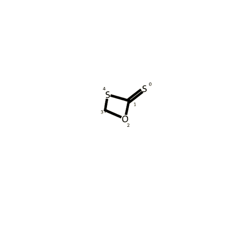 S=C1O[CH]S1